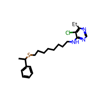 CCc1ncnc(NCCCCCCCCSC(C)c2ccccc2)c1Cl